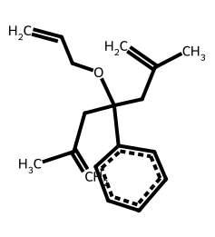 C=CCOC(CC(=C)C)(CC(=C)C)c1ccccc1